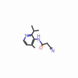 Cc1ccnc(C(C)C)c1NC(=O)CC#N